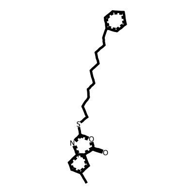 Cc1ccc2nc(SCCCCCCCCCCc3ccccc3)oc(=O)c2c1